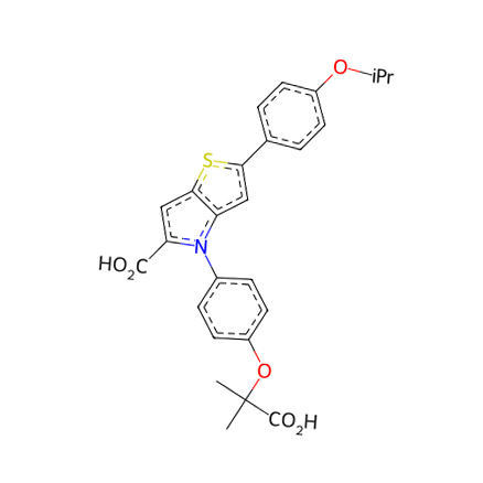 CC(C)Oc1ccc(-c2cc3c(cc(C(=O)O)n3-c3ccc(OC(C)(C)C(=O)O)cc3)s2)cc1